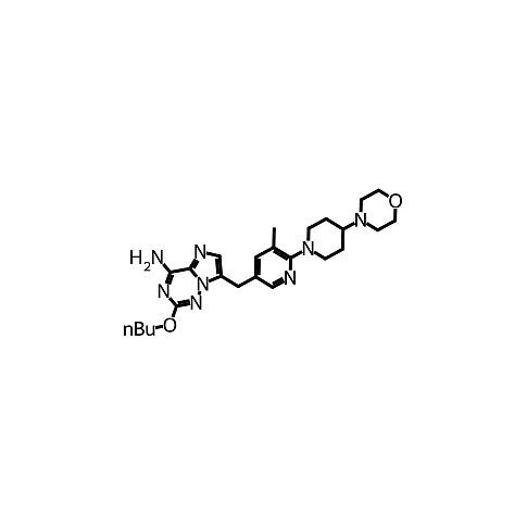 CCCCOc1nc(N)c2ncc(Cc3cnc(N4CCC(N5CCOCC5)CC4)c(C)c3)n2n1